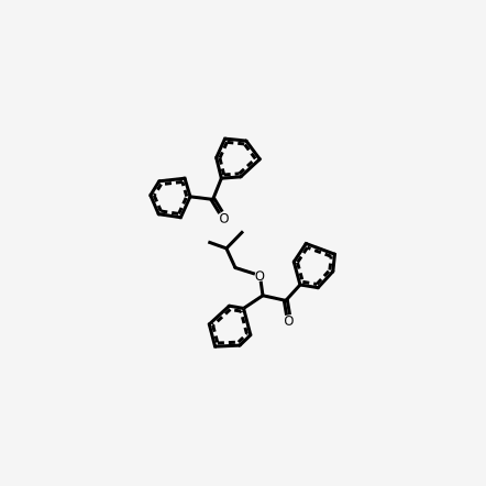 CC(C)COC(C(=O)c1ccccc1)c1ccccc1.O=C(c1ccccc1)c1ccccc1